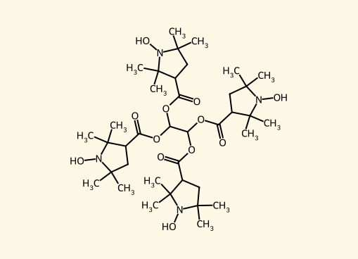 CC1(C)CC(C(=O)OC(OC(=O)C2CC(C)(C)N(O)C2(C)C)C(OC(=O)C2CC(C)(C)N(O)C2(C)C)OC(=O)C2CC(C)(C)N(O)C2(C)C)C(C)(C)N1O